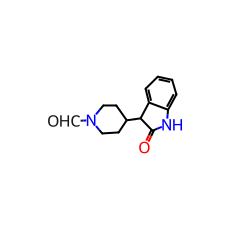 O=CN1CCC(C2C(=O)Nc3ccccc32)CC1